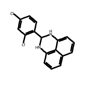 Clc1ccc(C2Nc3cccc4cccc(c34)N2)c(Cl)c1